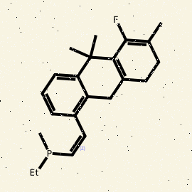 CCP(C)/C=C\c1cccc2c1CC1=C(C(F)=C(C)CC1)C2(C)C